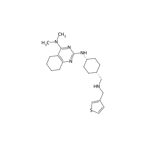 CN(C)c1nc(N[C@H]2CC[C@@H](CNCc3ccsc3)CC2)nc2c1CCCC2